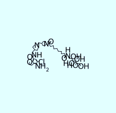 Nc1c(Cl)cc(C(=O)NCC2CCN(CC3CCN(C(=O)CCCCCCCCC(=O)NC[C@H](O)[C@@H](O)[C@H](O)[C@H](O)CO)CC3)CC2)c2c1CCO2